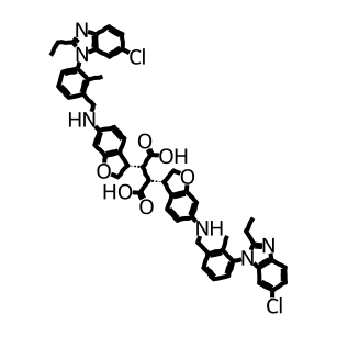 CCc1nc2ccc(Cl)cc2n1-c1cccc(CNc2ccc3c(c2)OC[C@H]3C(C(=O)O)C(C(=O)O)[C@@H]2COc3cc(NCc4cccc(-n5c(CC)nc6ccc(Cl)cc65)c4C)ccc32)c1C